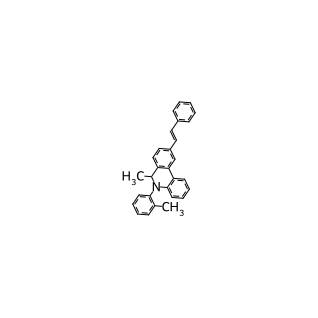 Cc1ccccc1N1c2ccccc2-c2cc(/C=C/c3ccccc3)ccc2C1C